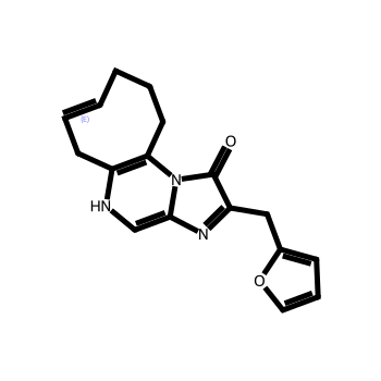 O=c1c(Cc2ccco2)nc2c[nH]c3c(n1-2)CCC/C=C/C3